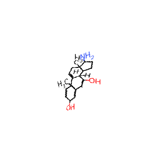 C[C@]12C=CC(O)C=C1CC(O)[C@@H]1C2=CC[C@]2(C)C(N)CC[C@@H]12